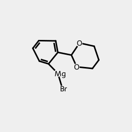 [Br][Mg][c]1ccccc1C1OCCCO1